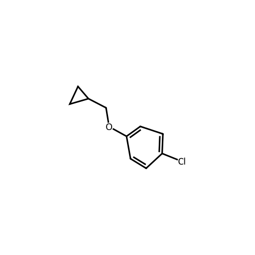 Clc1ccc(OCC2CC2)cc1